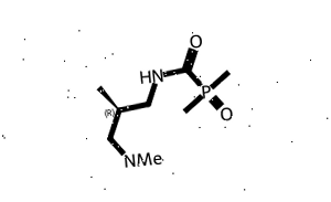 CNC[C@@H](C)CNC(=O)P(C)(C)=O